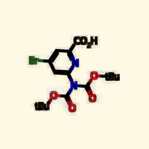 CC(C)(C)OC(=O)N(C(=O)OC(C)(C)C)c1cc(Br)cc(C(=O)O)n1